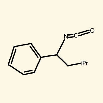 CC(C)CC(N=C=O)c1[c]cccc1